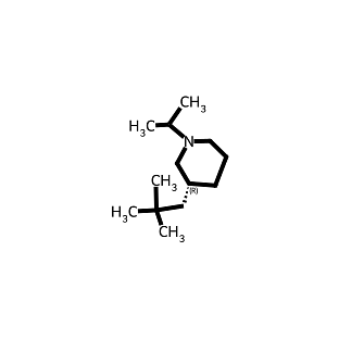 CC(C)N1CCC[C@H](CC(C)(C)C)C1